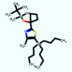 CCC[CH2][Sn]([CH2]CCC)([CH2]CCC)[c]1sc(C2(O[Si](C)(C)C(C)(C)C)CCC2)nc1C